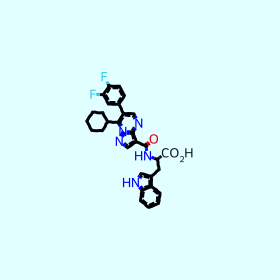 O=C(NC(Cc1c[nH]c2ccccc12)C(=O)O)c1cnn2c(C3CCCCC3)c(-c3ccc(F)c(F)c3)cnc12